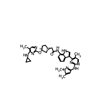 Cc1cnc(O[C@H]2CCN(CC(=O)Nc3cccc4c(-c5nc(Nc6cc(C)n(C)n6)ncc5C)c[nH]c34)C2)nc1NC1CC1